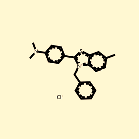 Cc1ccc2c(c1)sc(-c1ccc(N(C)C)cc1)[n+]2Cc1ccccc1.[Cl-]